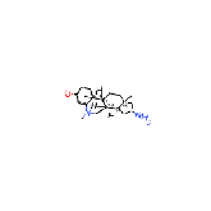 CN1C[C@@H]2[C@@H](CC[C@]3(C)CC(N)C[C@@H]23)[C@@]2(C)CCC(=O)C=C12